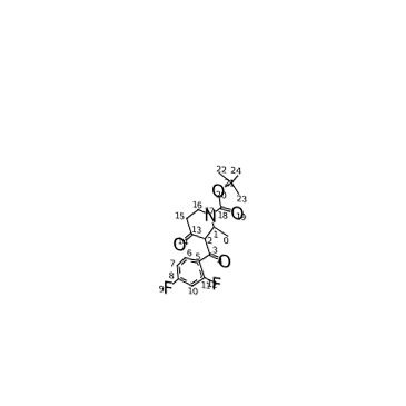 CC1C(C(=O)c2ccc(F)cc2F)C(=O)CCN1C(=O)OC(C)(C)C